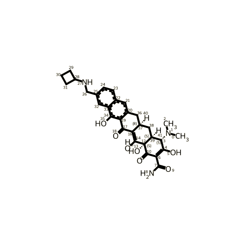 CN(C)[C@@H]1C(O)=C(C(N)=O)C(=O)[C@@]2(O)C(O)=C3C(=O)c4c(cc5ccc(CNC6CCC6)cc5c4O)C[C@H]3C[C@@H]12